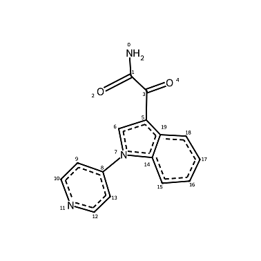 NC(=O)C(=O)c1cn(-c2ccncc2)c2ccccc12